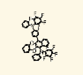 Fc1c(F)c(F)c(N(c2ccccc2)c2ccc(-c3c4c(c(N(c5ccccc5)c5c(F)c(F)c(F)c(F)c5F)c5ccccc35)Oc3ccccc3O4)cc2)c(F)c1F